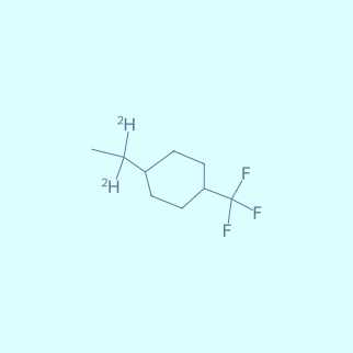 [2H]C([2H])(C)C1CCC(C(F)(F)F)CC1